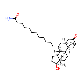 C[C@]12CCC(=O)C[C@@H]1C[C@@H](CCCCCCCCCCCC(N)=O)[C@@H]1[C@@H]2CC[C@]2(C)[C@@H](O)CC[C@@H]12